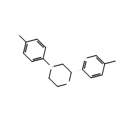 Cc1ccc([C@H]2CN(c3ccc(F)cc3)CCO2)nc1